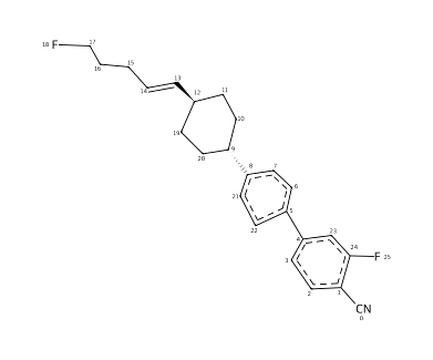 N#Cc1ccc(-c2ccc([C@H]3CC[C@H](/C=C/CCCF)CC3)cc2)cc1F